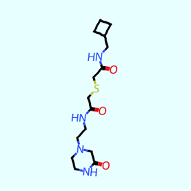 O=C(CSCC(=O)NCC1CCC1)NCCN1CCNC(=O)C1